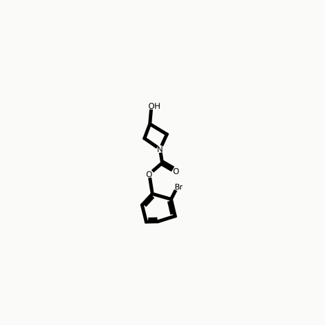 O=C(Oc1ccccc1Br)N1CC(O)C1